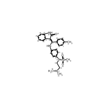 Cc1ccc(C(Nc2ccc(N(CCN(C)C)S(C)(=O)=O)cc2)=C2C(=O)Nc3ccccc32)cc1